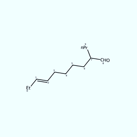 CC/C=C/CCCCC(C=O)CCC